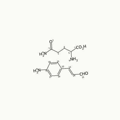 NC(=O)CCC(N)C(=O)O.Nc1ccc(C=CC=O)cc1